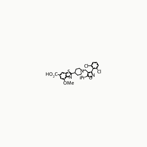 COc1cc(C(=O)O)cc2sc(C3CCN(Cc4c(-c5c(Cl)cccc5Cl)noc4C(C)C)CC3)nc12